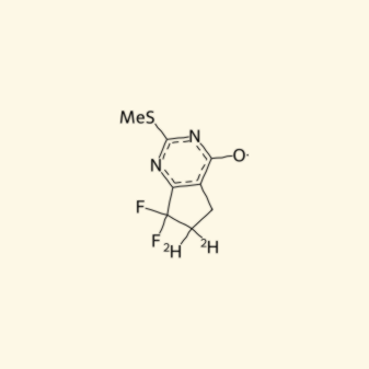 [2H]C1([2H])Cc2c([O])nc(SC)nc2C1(F)F